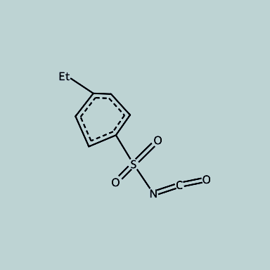 CCc1ccc(S(=O)(=O)N=C=O)cc1